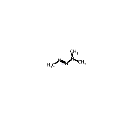 C/N=N/N(C)C